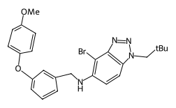 COc1ccc(Oc2cccc(CNc3ccc4c(nnn4CC(C)(C)C)c3Br)c2)cc1